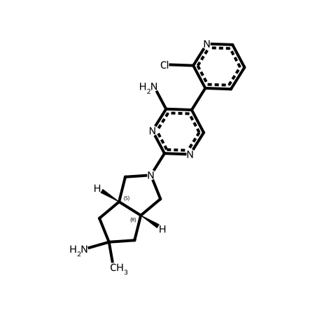 CC1(N)C[C@H]2CN(c3ncc(-c4cccnc4Cl)c(N)n3)C[C@H]2C1